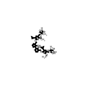 COc1nc(OCc2cccc(-c3cccc(COc4nc(OC)c(CN[C@](C)(CO)C(=O)O)cc4C4CC4)c3C)c2C)c(C2CC2)cc1CNC(C)(CO)C(=O)O